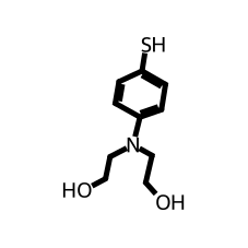 OCCN(CCO)c1ccc(S)cc1